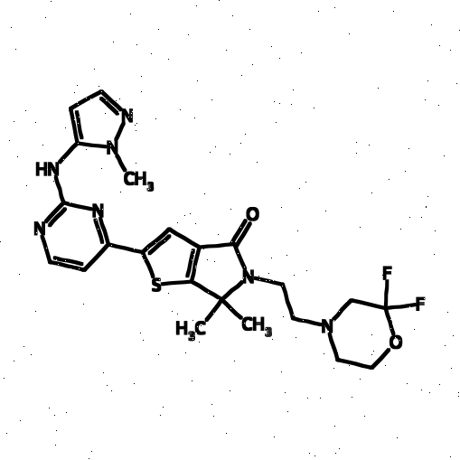 Cn1nccc1Nc1nccc(-c2cc3c(s2)C(C)(C)N(CCN2CCOC(F)(F)C2)C3=O)n1